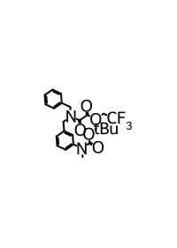 CN(C(=O)OC(C)(C)C)c1cccc(CN(Cc2ccccc2)C(=O)C(=O)OCC(F)(F)F)c1